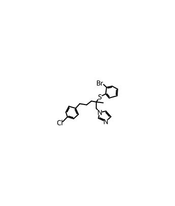 CC(CCCc1ccc(Cl)cc1)(Cn1ccnc1)Sc1ccccc1Br